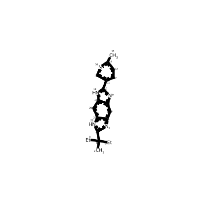 CCC(C)(CC)c1nc2cc3nc(-c4ccc(C)nc4)[nH]c3cc2[nH]1